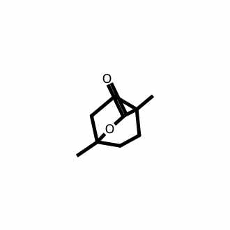 CC12CCC(C)(CC1)C(=O)O2